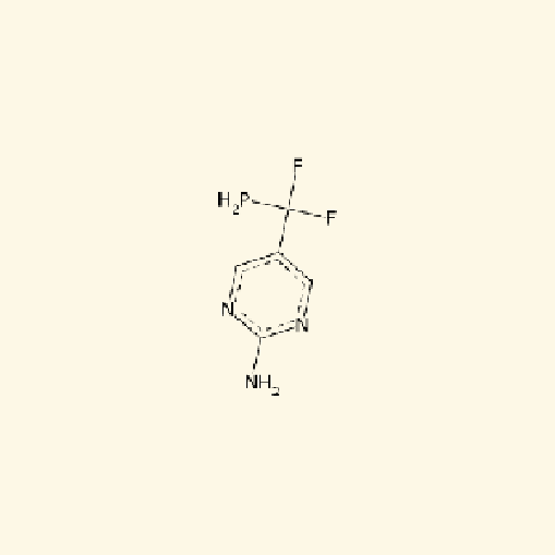 Nc1ncc(C(F)(F)P)cn1